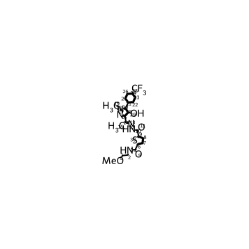 COCCNC(=O)c1ccc(C(=O)NN=C(C)c2nn(C)c(-c3ccc(C(F)(F)F)cc3)c2O)s1